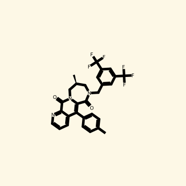 Cc1ccc(-c2c3n(c(=O)c4ncccc24)C[C@@H](C)CN(Cc2cc(C(F)(F)F)cc(C(F)(F)F)c2)C3=O)cc1